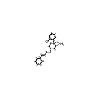 NC[C@]1(c2ccccc2Cl)CC[C@H](OC/C=C/c2ccccc2)CC1